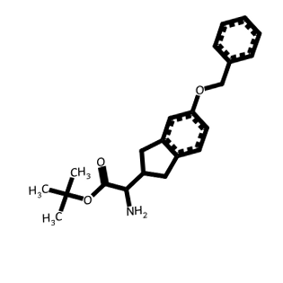 CC(C)(C)OC(=O)C(N)C1Cc2ccc(OCc3ccccc3)cc2C1